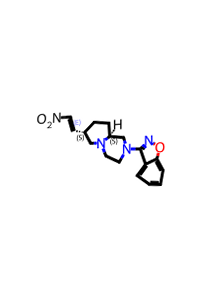 O=[N+]([O-])/C=C/[C@@H]1CC[C@H]2CN(c3noc4ccccc34)CCN2C1